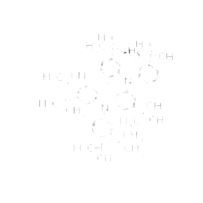 CC(C)(C)c1cccc(N2c3cc(C(C)(C)C)ccc3C3c4cc5c(cc4N(c4ccc6c(c4)C(C)(C)CC6(C)C)c4cc(C(C)(C)C)cc2c43)C(C)(C)CC5(C)C)c1